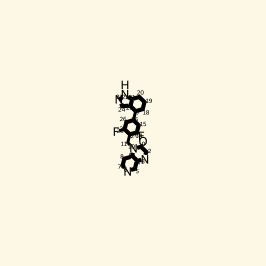 O=c1cnc2cnccc2n1Cc1c(F)cc(-c2cccc3[nH]ncc23)cc1F